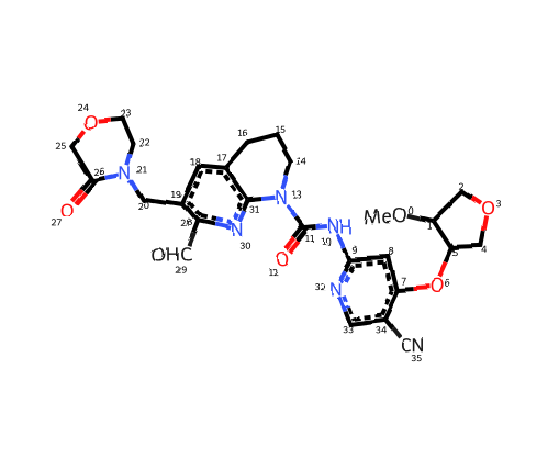 COC1COCC1Oc1cc(NC(=O)N2CCCc3cc(CN4CCOCC4=O)c(C=O)nc32)ncc1C#N